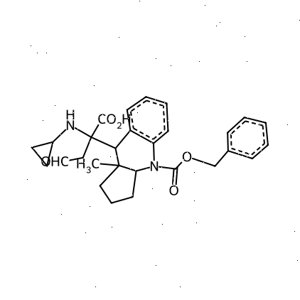 CC12CCCC1N(C(=O)OCc1ccccc1)c1ccccc1C2C(CC=O)(NC1CC1)C(=O)O